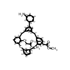 COC(=O)COc1c2cccc1Cc1cc(-c3cccc(N)c3)cc(c1O)Cc1cccc(c1OCC(=O)OC)Cc1cccc(c1O)C2